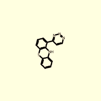 c1ccc2c(c1)Nc1c(cccc1-c1ccnnn1)S2